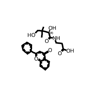 CC(C)(CO)[C@@H](O)C(=O)NCCC(=O)O.O=c1cc(-c2ccccc2)oc2ccccc12